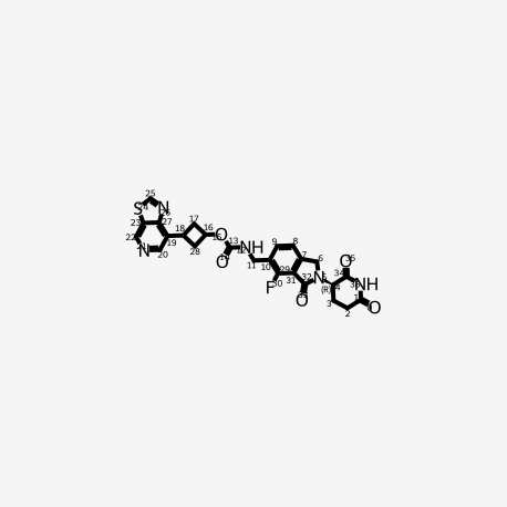 O=C1CC[C@@H](N2Cc3ccc(CNC(=O)OC4CC(c5cncc6scnc56)C4)c(F)c3C2=O)C(=O)N1